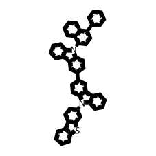 c1ccc(-c2ccc(-n3c4ccccc4c4cc(-c5ccc6c(c5)c5ccccc5n6-c5ccc6c(c5)sc5ccccc56)ccc43)c3ccccc23)cc1